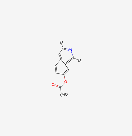 CCc1cc2ccc(OC(=O)C=O)cc2c(CC)n1